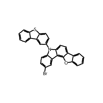 Brc1ccc2c(c1)c1c3oc4ccccc4c3ccc1n2-c1ccc2sc3ccccc3c2c1